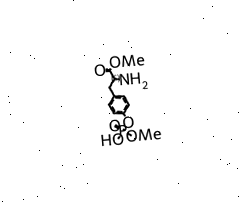 COC(=O)[C@@H](N)Cc1ccc(OP(=O)(O)OC)cc1